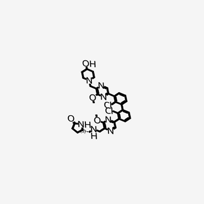 COc1nc(-c2cccc(-c3cccc(-c4cnc(CN5CCC(O)CC5)c(OC)n4)c3Cl)c2Cl)cnc1CNC[C@@H]1CCC(=O)N1